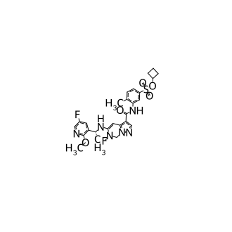 COc1ncc(F)cc1[C@@H](C)NC1=Cc2c(C(=O)Nc3cc(S(=O)(=O)OC4CCC4)ccc3C)cnn2CN1F